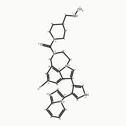 CNCC1CCN(C(=O)N2CCn3cc(-c4c[nH]cc4-c4cnc5ccccn45)c4cc(F)cc(c43)C2)CC1